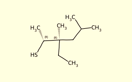 CC[C@](C)(CC(C)C)[C@@H](C)S